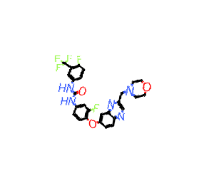 O=C(Nc1ccc(Oc2ccc3ncc(CN4CCOCC4)nc3c2)c(F)c1)Nc1ccc(F)c(C(F)(F)F)c1